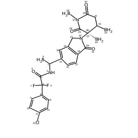 BC(NC(=O)C(F)(F)c1ccc(Cl)cc1)c1ccc2c(c1)CN([C@@]1(B)C(=O)N(B)C(=O)CC1B)C2=O